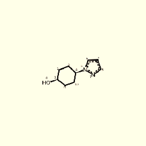 O[C@H]1CC[C@@H](n2cccn2)CC1